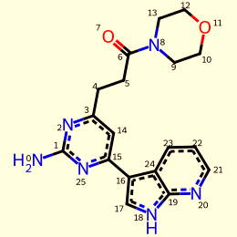 Nc1nc(CCC(=O)N2CCOCC2)cc(-c2c[nH]c3ncccc23)n1